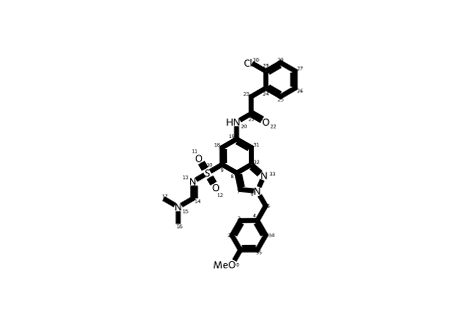 COc1ccc(Cn2cc3c(S(=O)(=O)N=CN(C)C)cc(NC(=O)Cc4ccccc4Cl)cc3n2)cc1